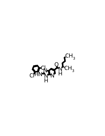 CCCC[C@@H](C)NC(=O)c1cnc2[nH]c(Nc3c(Cl)cccc3Cl)nc2c1